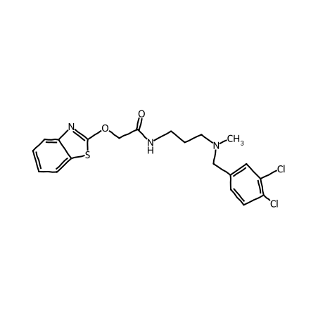 CN(CCCNC(=O)COc1nc2ccccc2s1)Cc1ccc(Cl)c(Cl)c1